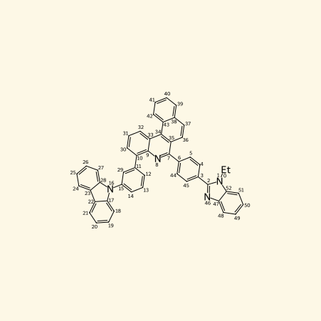 CCn1c(-c2ccc(-c3nc4c(-c5cccc(-n6c7ccccc7c7ccccc76)c5)cccc4c4c3ccc3ccccc34)cc2)nc2ccccc21